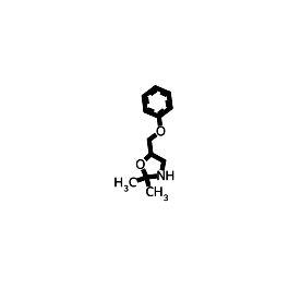 CC1(C)NCC(COc2ccccc2)O1